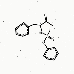 CC(=O)[C@H](Cc1ccccc1)NP(=O)(Cl)Oc1ccccc1